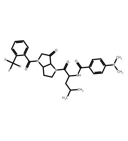 CC(C)CC(NC(=O)c1ccc(N(C)C)cc1)C(=O)N1CCC2C1C(=O)CN2C(=O)c1ccccc1C(F)(F)F